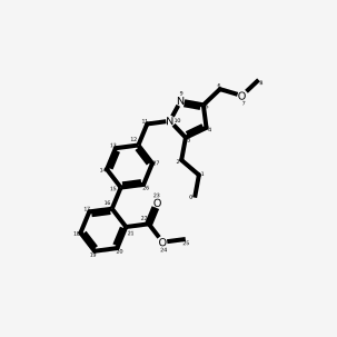 CCCc1cc(COC)nn1Cc1ccc(-c2ccccc2C(=O)OC)cc1